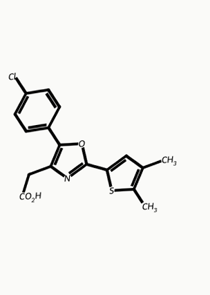 Cc1cc(-c2nc(CC(=O)O)c(-c3ccc(Cl)cc3)o2)sc1C